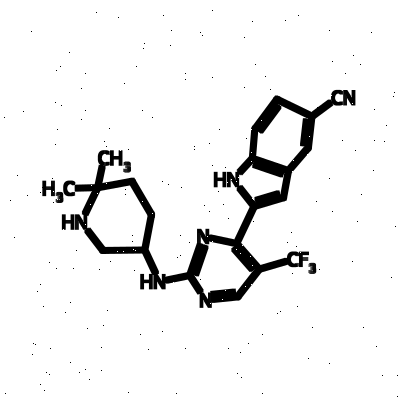 CC1(C)CCC(Nc2ncc(C(F)(F)F)c(-c3cc4cc(C#N)ccc4[nH]3)n2)CN1